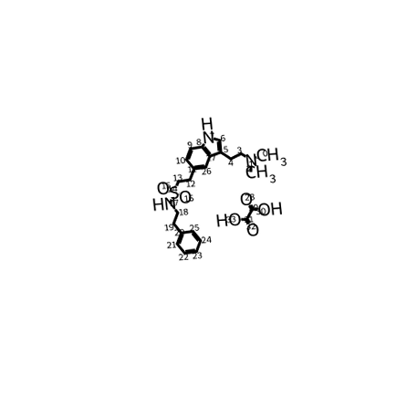 CN(C)CCc1c[nH]c2ccc(CCS(=O)(=O)NCCc3ccccc3)cc12.O=C(O)C(=O)O